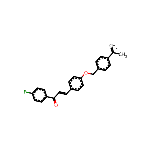 C=C(C)c1ccc(COc2ccc(C=CC(=O)c3ccc(F)cc3)cc2)cc1